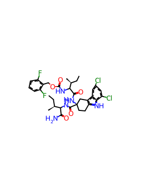 CC[C@H](C)C(NC(=O)[C@@]1(NC(=O)C(NC(=O)OCc2c(F)cccc2F)[C@@H](C)CC)CCc2[nH]c3c(Cl)cc(Cl)cc3c2C1)C(N)=O